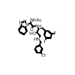 CCc1cccc(CNC[C@@H](O)[C@H](Cc2cc(F)cc(F)c2)NC(=O)C(NC(C)=O)n2nnc3ccccc32)c1